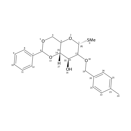 CS[C@H]1OC2COC(c3ccccc3)O[C@H]2[C@H](O)C1OCc1ccc(C)cc1